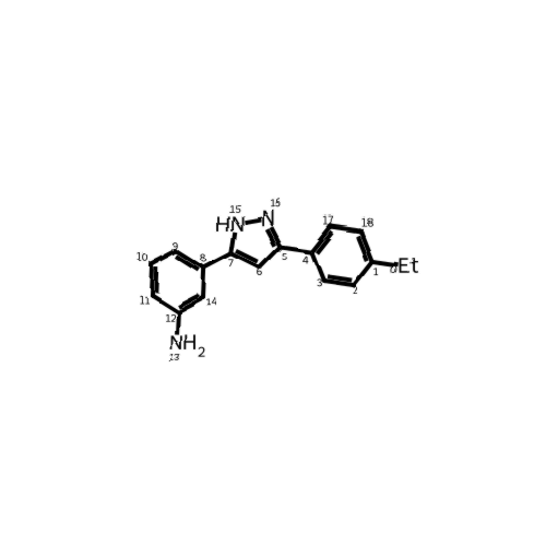 CCc1ccc(-c2cc(-c3cccc(N)c3)[nH]n2)cc1